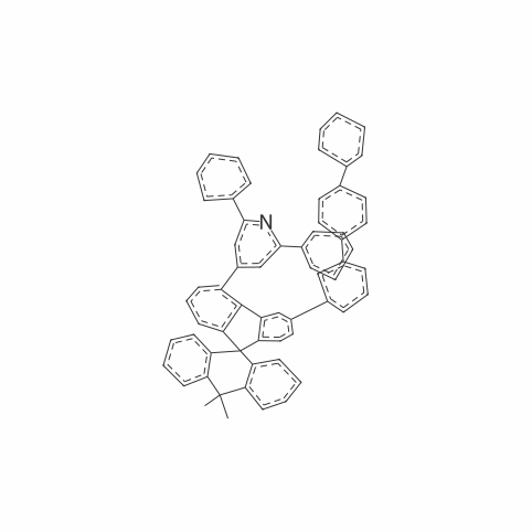 CC1(C)c2ccccc2C2(c3ccc(-c4cccc(-c5ccc(-c6ccccc6)cc5)c4)cc3-c3c(-c4cc(-c5ccccc5)nc(-c5ccccc5)c4)cccc32)c2ccccc21